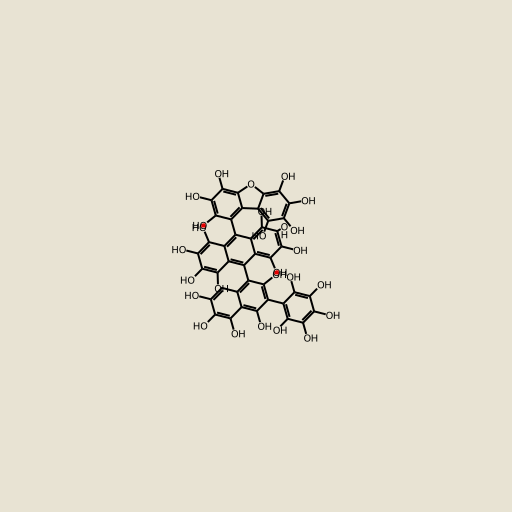 Oc1cc2c(-c3c4c(O)c(O)c(O)c(O)c4c(-c4c(O)c(O)c(O)c5oc6c(O)c(O)c(O)c(O)c6c45)c4c(O)c(O)c(O)c(O)c34)c(O)c(-c3c(O)c(O)c(O)c(O)c3O)c(O)c2c(O)c1O